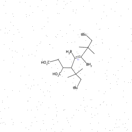 B/C(=C(/B)C(C)(C)CC(C)(C)C)C(C(CC(=O)O)C(=O)O)C(C)(C)CC(C)(C)C